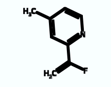 C=C(F)c1cc(C)ccn1